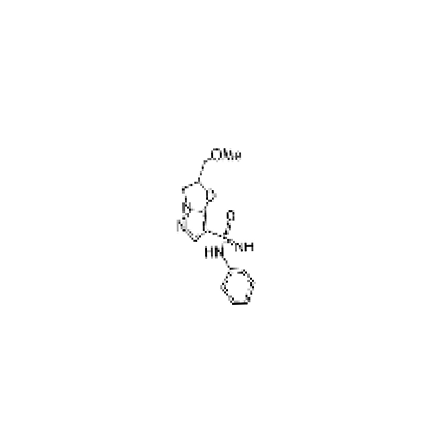 COCC1Cn2ncc(S(=N)(=O)Nc3ccccc3)c2O1